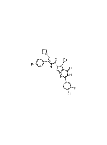 O=C(N[C@H](CN1CCC1)c1ccc(F)cc1)c1cn2nc(-c3ccc(Cl)c(F)c3)[nH]c(=O)c2c1C1CC1